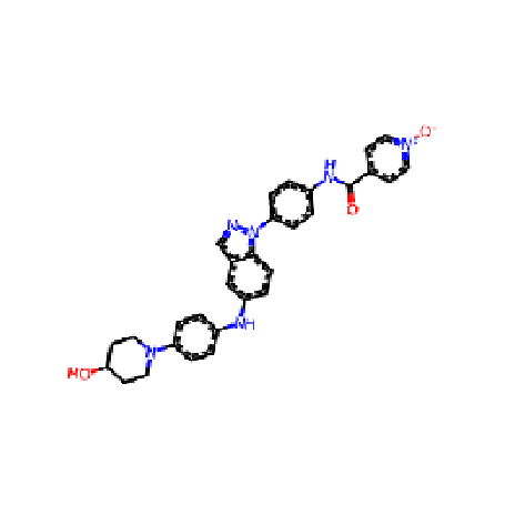 O=C(Nc1ccc(-n2ncc3cc(Nc4ccc(N5CCC(O)CC5)cc4)ccc32)cc1)c1cc[n+]([O-])cc1